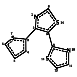 [c]1nc(-c2cccs2)c(-c2nccs2)s1